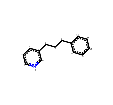 [c]1ncccc1CCCc1ccccc1